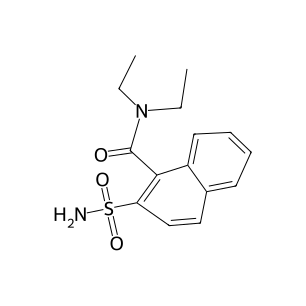 CCN(CC)C(=O)c1c(S(N)(=O)=O)ccc2ccccc12